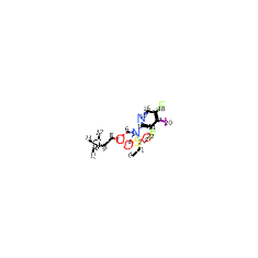 CCS(=O)(=O)N(COCC[Si](C)(C)C)c1ncc(F)c(I)c1F